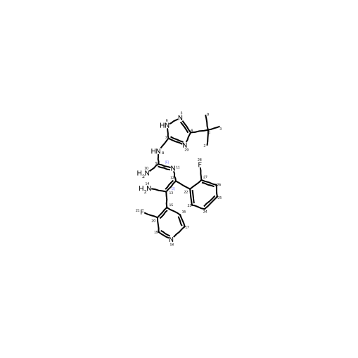 CC(C)(C)c1n[nH]c(N/C(N)=N/C(=C(\N)c2ccncc2F)c2ccccc2F)n1